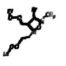 CCOOCC[C@H]1O[C@@H](C)C(Br)C1COOCC